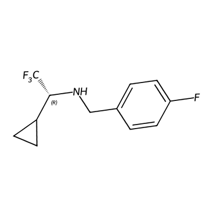 Fc1ccc(CN[C@H](C2CC2)C(F)(F)F)cc1